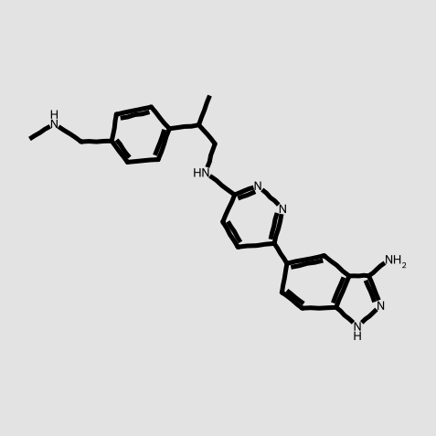 CNCc1ccc(C(C)CNc2ccc(-c3ccc4[nH]nc(N)c4c3)nn2)cc1